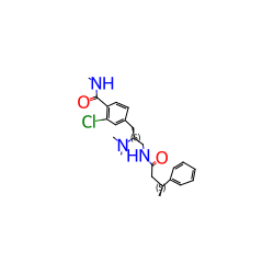 CNC(=O)c1ccc(C[C@@H](CNC(=O)C[C@H](C)c2ccccc2)N(C)C)cc1Cl